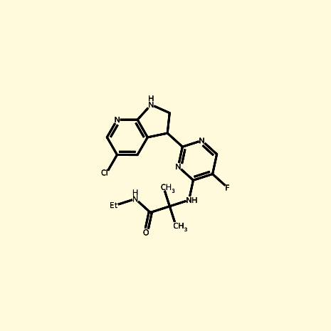 CCNC(=O)C(C)(C)Nc1nc(C2CNc3ncc(Cl)cc32)ncc1F